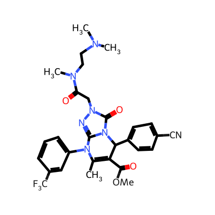 COC(=O)C1=C(C)N(c2cccc(C(F)(F)F)c2)c2nn(CC(=O)N(C)CCN(C)C)c(=O)n2C1c1ccc(C#N)cc1